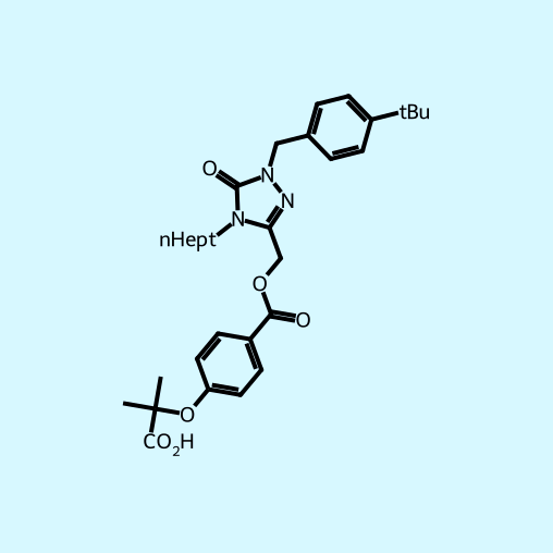 CCCCCCCn1c(COC(=O)c2ccc(OC(C)(C)C(=O)O)cc2)nn(Cc2ccc(C(C)(C)C)cc2)c1=O